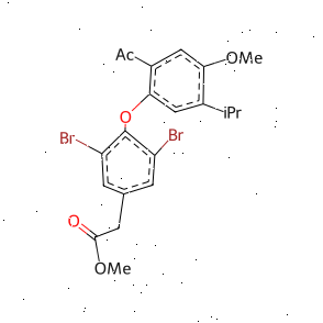 COC(=O)Cc1cc(Br)c(Oc2cc(C(C)C)c(OC)cc2C(C)=O)c(Br)c1